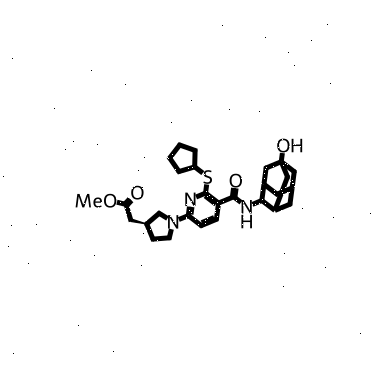 COC(=O)C[C@@H]1CCN(c2ccc(C(=O)NC3C4CC5CC3CC(O)(C5)C4)c(SC3CCCC3)n2)C1